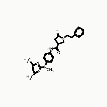 Cc1cc(C)nc(N(C)c2ccc(NC(=O)C3CC(=O)N(CCc4ccccc4)C3)cc2)n1